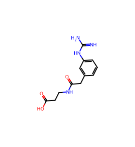 N=C(N)Nc1cccc(CC(=O)NCCC(=O)O)c1